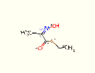 CCSC(=O)/C(C)=N\O